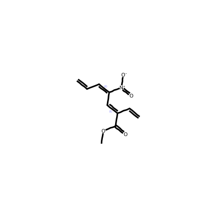 C=C/C=C(\C=C(/C=C)C(=O)OC)[N+](=O)[O-]